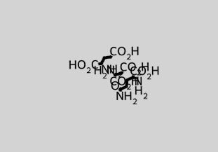 NC(=O)CCC(N)C(=O)O.NC(CC(=O)O)C(=O)O.NC(CCC(=O)O)C(=O)O